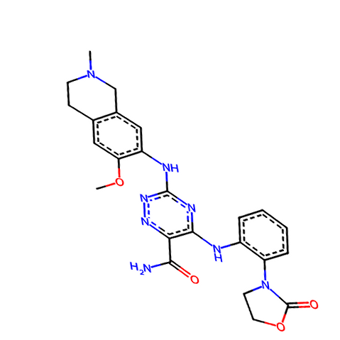 COc1cc2c(cc1Nc1nnc(C(N)=O)c(Nc3ccccc3N3CCOC3=O)n1)CN(C)CC2